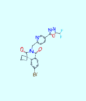 O=C1c2ccc(Br)cc2C2(CCC2)C(=O)N1Cc1ccc(-c2nnc(C(F)F)o2)cn1